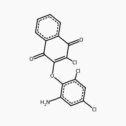 Nc1cc(Cl)cc(Cl)c1OC1=C(Cl)C(=O)c2ccccc2C1=O